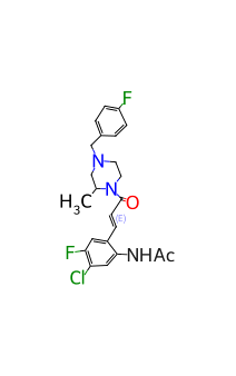 CC(=O)Nc1cc(Cl)c(F)cc1/C=C/C(=O)N1CCN(Cc2ccc(F)cc2)CC1C